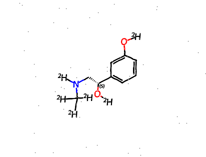 [2H]Oc1cccc([C@@H](CN([2H])C([2H])([2H])[2H])O[2H])c1